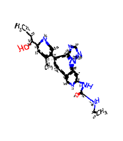 CCNC(=O)Nc1cc2c(cn1)cc(-c1cnc(C(O)CC)cc1C)c1ncnn12